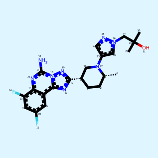 C[C@@H]1CC[C@H](c2nc3c4cc(F)cc(F)c4nc(N)n3n2)CN1c1cnn(CC(C)(C)O)c1